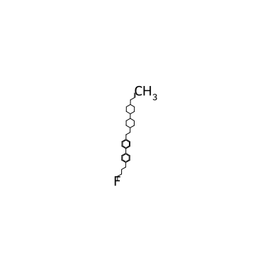 CC=CCC1CCC(C2CCC(CCc3ccc(-c4ccc(CCCCF)cc4)cc3)CC2)CC1